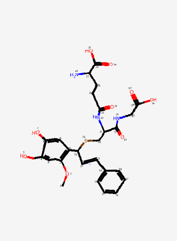 COc1cc(O)c(O)cc1C(/C=C/c1ccccc1)SCC(NC(=O)CCC(N)C(=O)O)C(=O)NCC(=O)O